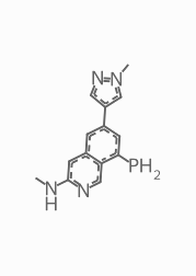 CNc1cc2cc(-c3cnn(C)c3)cc(P)c2cn1